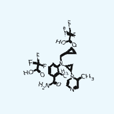 Cc1c(C(N)=O)cccc1N(CC1CC1)[C@@H]1C[C@H]1N1C=CN=CC1C.O=C(O)C(F)(F)F.O=C(O)C(F)(F)F